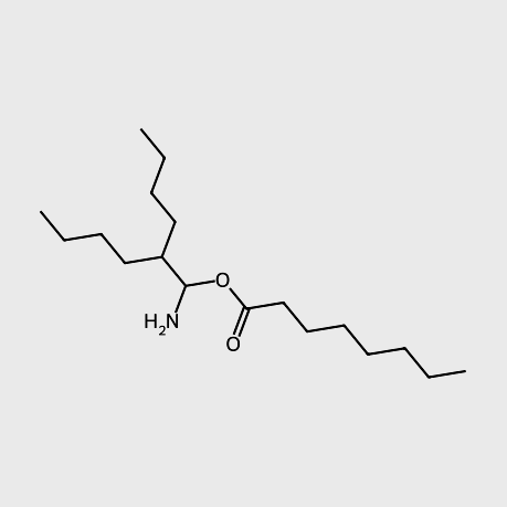 CCCCCCCC(=O)OC(N)C(CCCC)CCCC